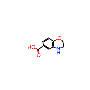 O=C(O)c1ccc2c(c1)NCCO2